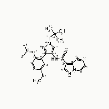 CSc1ccc(OC(F)F)c(-c2nn(CC(C)(C)O)cc2NC(=O)c2cnn3cccnc23)c1